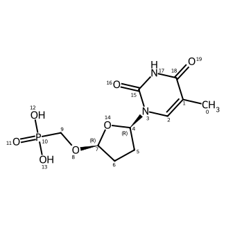 Cc1cn([C@H]2CC[C@@H](OCP(=O)(O)O)O2)c(=O)[nH]c1=O